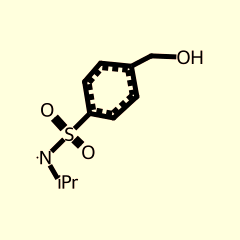 CC(C)[N]S(=O)(=O)c1ccc(CO)cc1